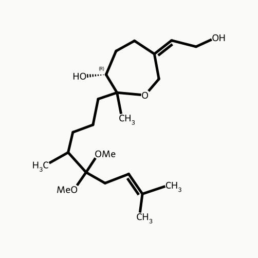 COC(CC=C(C)C)(OC)C(C)CCCC1(C)OCC(=CCO)CC[C@H]1O